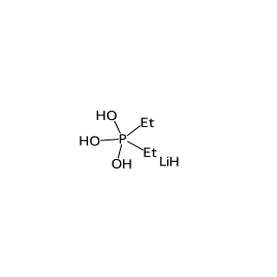 CCP(O)(O)(O)CC.[LiH]